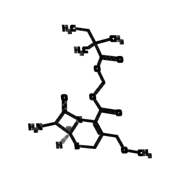 CCC(C)(C)C(=O)OCOC(=O)C1=C(COC)CS[C@H]2C(N)C(=O)N12